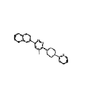 Cc1cc(-c2ccc3ccccc3c2)nnc1N1CCN(c2ccccn2)CC1